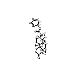 CN1C(=O)CC[C@]2(C)[C@H]3CC[C@]4(C)[C@@H](C(=S)Oc5ccccn5)CC[C@H]4[C@@H]3CC[C@@H]12